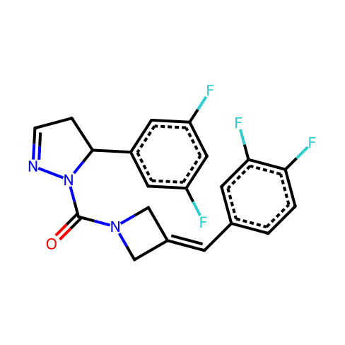 O=C(N1CC(=Cc2ccc(F)c(F)c2)C1)N1N=CCC1c1cc(F)cc(F)c1